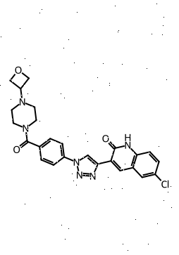 O=C(c1ccc(-n2cc(-c3cc4cc(Cl)ccc4[nH]c3=O)nn2)cc1)N1CCN(C2COC2)CC1